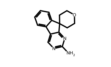 Nc1ncc2c(n1)C1(CCOCC1)c1ccccc1-2